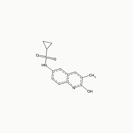 Cc1cc2cc(NS(=O)(=O)C3CC3)ccc2nc1O